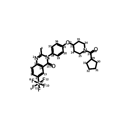 Cc1nc2ccc(S(F)(F)(F)(F)F)cc2c(=O)n1-c1ccc(OC2CCN(C(=O)C3CCCC3)CC2)cc1